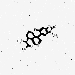 CC(C(N)=O)C1CCCc2c(-c3cc4c(cc3F)oc(=O)n4C)cncc21